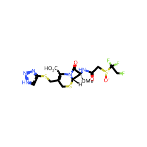 CO[C@@]1(NC(=O)C[S+]([O-])C(F)(F)CF)C(=O)N2C(C(=O)O)=C(CSc3c[nH]nn3)CS[C@H]21